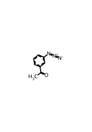 CC(=O)c1cccc(N=[N+]=[N-])c1